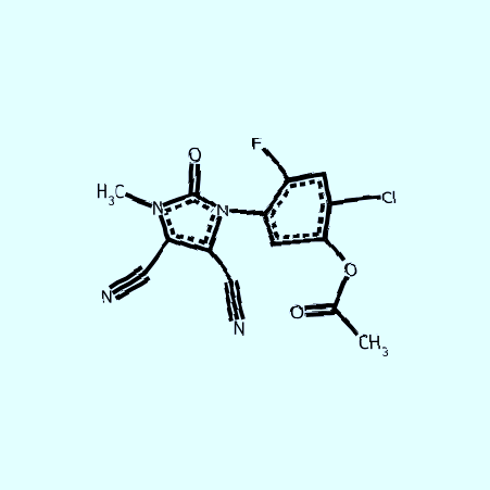 CC(=O)Oc1cc(-n2c(C#N)c(C#N)n(C)c2=O)c(F)cc1Cl